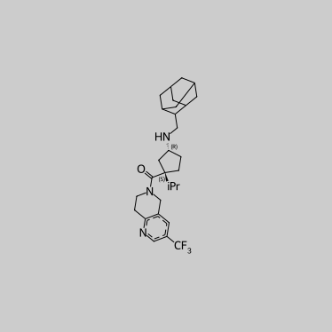 CC(C)[C@]1(C(=O)N2CCc3ncc(C(F)(F)F)cc3C2)CC[C@@H](NCC2C3CC4CC(C3)CC2C4)C1